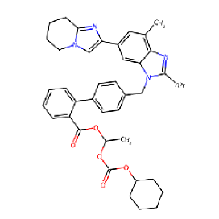 CCCc1nc2c(C)cc(-c3cn4c(n3)CCCC4)cc2n1Cc1ccc(-c2ccccc2C(=O)OC(C)OC(=O)OC2CCCCC2)cc1